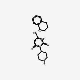 O=c1cc(N[C@H]2CCCc3ccccc32)[nH]c(=O)n1C1CCNCC1